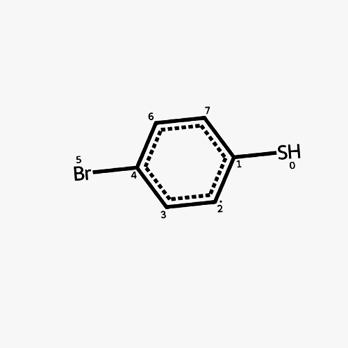 Sc1[c]cc(Br)cc1